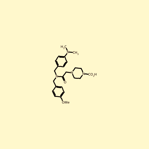 COc1ccc(CN(Cc2ccc(N(C)C)cc2)C(=O)CN2CCN(C(=O)O)CC2)cc1